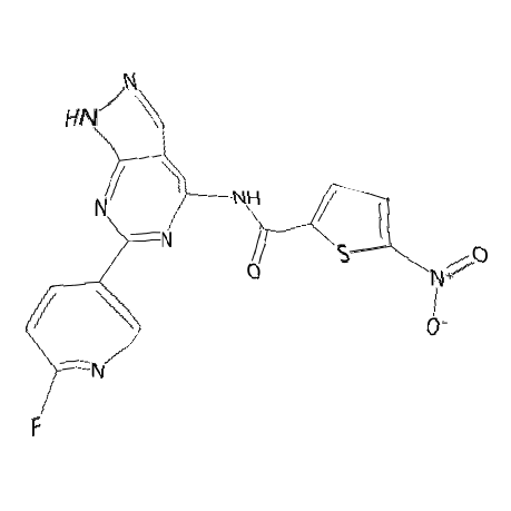 O=C(Nc1nc(-c2ccc(F)nc2)nc2[nH]ncc12)c1ccc([N+](=O)[O-])s1